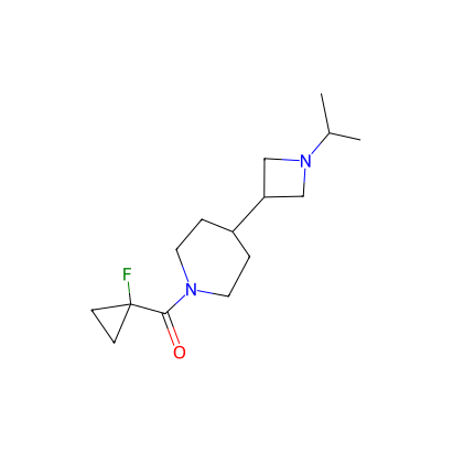 CC(C)N1CC(C2CCN(C(=O)C3(F)CC3)CC2)C1